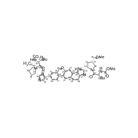 CCC(C)C(NC(=O)OC)C(=O)N1C[C@@H](COC)C[C@H]1c1nc2ccc3cc4c(cc3c2[nH]1)OCc1cc(-c2cnc([C@@H]3CC[C@H](C)N3C(=O)C(NC(=O)O)C(C)CC)[nH]2)ccc1-4